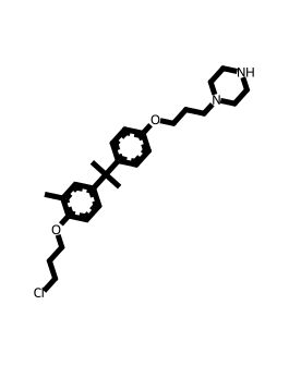 Cc1cc(C(C)(C)c2ccc(OCCCN3CCNCC3)cc2)ccc1OCCCCl